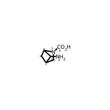 NC1C2CC1N(C(=O)O)C2